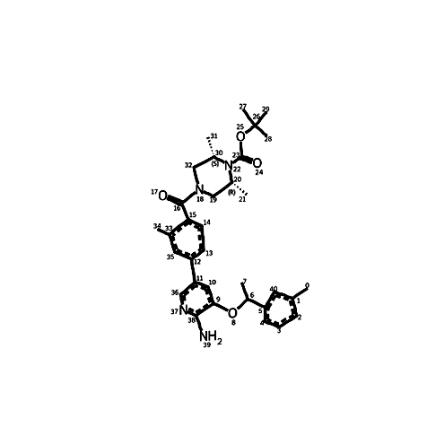 Cc1cccc(C(C)Oc2cc(-c3ccc(C(=O)N4C[C@@H](C)N(C(=O)OC(C)(C)C)[C@@H](C)C4)c(C)c3)cnc2N)c1